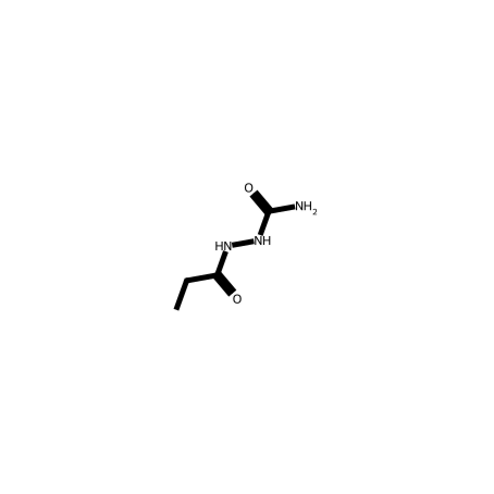 CCC(=O)NNC(N)=O